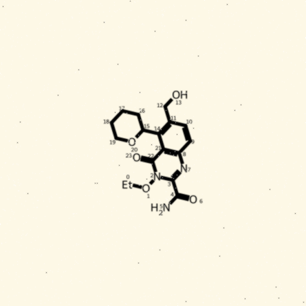 CCOn1c(C(N)=O)nc2ccc(CO)c(C3CCCCO3)c2c1=O